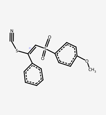 COc1ccc(S(=O)(=O)/C=C(/SC#N)c2ccccc2)cc1